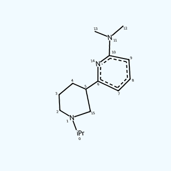 CC(C)N1CCCC(c2cccc(N(C)C)n2)C1